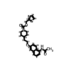 CC(=O)Nc1cccc2cc(OCCC3CCN(C(=O)OCc4nccs4)CC3)ccc12